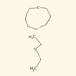 C1CCCCCCC1.CCOCC